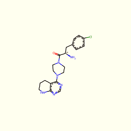 N[C@H](Cc1ccc(Cl)cc1)C(=O)N1CCN(c2ncnc3c2CCCN3)CC1